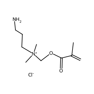 C=C(C)C(=O)OC[N+](C)(C)CCCN.[Cl-]